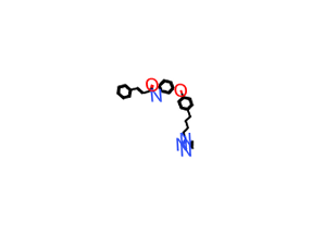 C(=Cc1nc2cc(Oc3ccc(CCCCn4ccnn4)cc3)ccc2o1)c1ccccc1